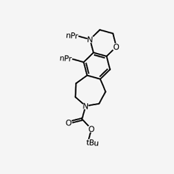 CCCc1c2c(cc3c1N(CCC)CCO3)CCN(C(=O)OC(C)(C)C)CC2